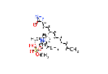 CCCCCCCCCCCC(N)=O.CCC[N+](C)(C)C.COS(=O)(=O)O